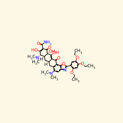 CCOc1cc(OCC)c(-c2nc3cc(N(C)C)c4c(c3o2)C(=O)C2=C(O)[C@]3(O)C(=O)C(C(N)=O)=C(O)[C@@H](N(C)C)[C@@H]3C[C@@H]2C4)cc1OCC